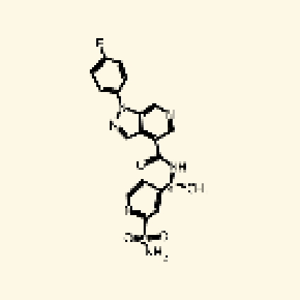 C[C@H](NC(=O)c1cncc2c1cnn2-c1ccc(F)cc1)c1ccnc(S(N)(=O)=O)c1